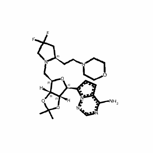 CC1(C)O[C@@H]2[C@H](O1)[C@@H](CN1CC(F)(F)C[C@H]1CCN1CCOCC1)O[C@H]2c1ccc2c(N)ncnn12